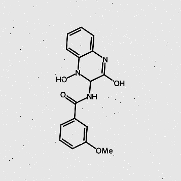 COc1cccc(C(=O)NC2C(O)=Nc3ccccc3N2O)c1